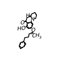 C[C@H](CCCc1ccccc1)Oc1cc(O)c2c(c1)N1CCCC[C@@H]1CC2=O